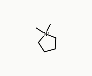 C[N+]1(C)CCCC1